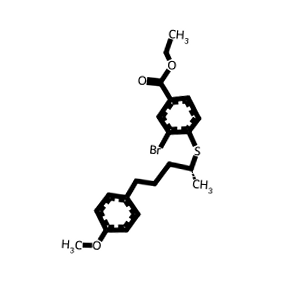 CCOC(=O)c1ccc(S[C@H](C)CCCc2ccc(OC)cc2)c(Br)c1